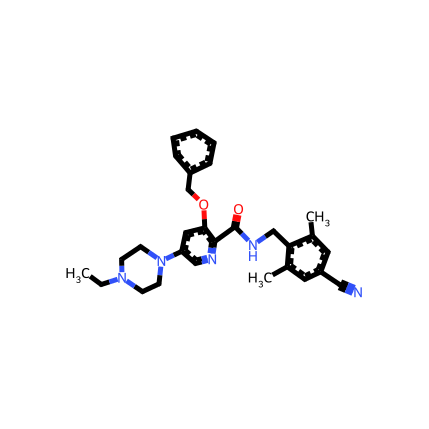 CCN1CCN(c2cnc(C(=O)NCc3c(C)cc(C#N)cc3C)c(OCc3ccccc3)c2)CC1